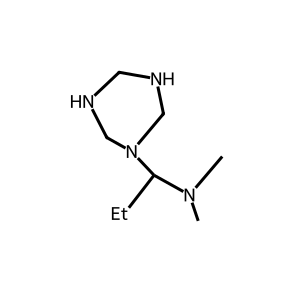 CCC(N(C)C)N1CNCNC1